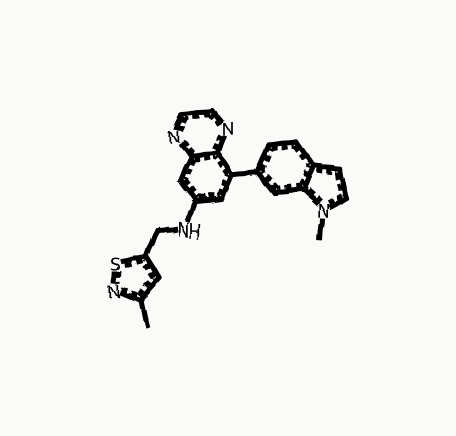 Cc1cc(CNc2cc(-c3ccc4ccn(C)c4c3)c3nccnc3c2)sn1